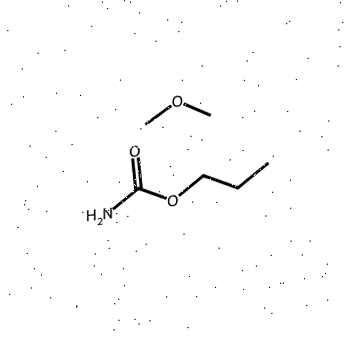 CCCOC(N)=O.COC